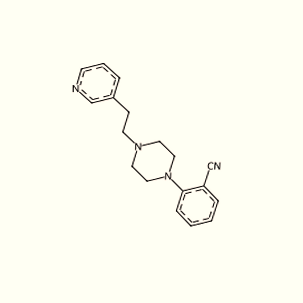 N#Cc1ccccc1N1CCN(CCc2cccnc2)CC1